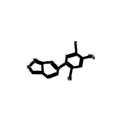 Nc1cc(Cl)c(-c2ccc3conc3c2)cc1F